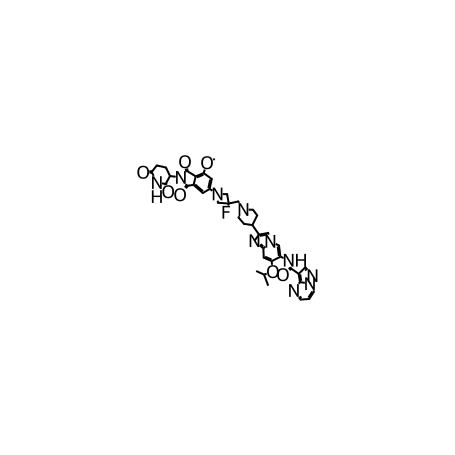 COc1cc(N2CC(F)(CN3CCC(c4cn5cc(NC(=O)c6cnn7cccnc67)c(OC(C)C)cc5n4)CC3)C2)cc2c1C(=O)N(C1CCC(=O)NC1=O)C2=O